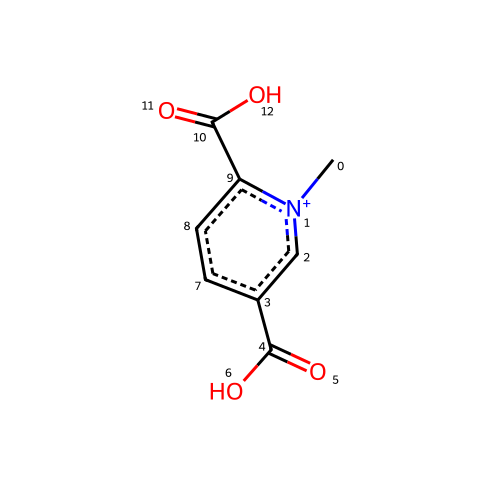 C[n+]1cc(C(=O)O)ccc1C(=O)O